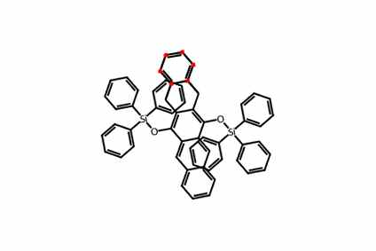 c1ccc([Si](Oc2c3c(c(O[Si](c4ccccc4)(c4ccccc4)c4ccccc4)c4cc5ccccc5cc24)C2c4ccccc4C3c3ccccc32)(c2ccccc2)c2ccccc2)cc1